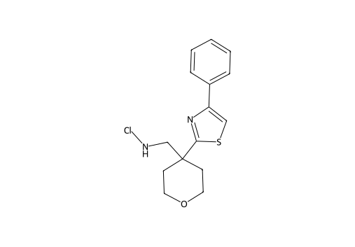 ClNCC1(c2nc(-c3ccccc3)cs2)CCOCC1